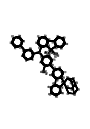 Cc1cc(N(c2cccc(-c3ccccc3)c2)c2cccc3c2C(C)(C)c2ccccc2-3)ccc1-c1ccc2c(c1)-c1ccccc1C21C2CC3CC(C2)CC1C3